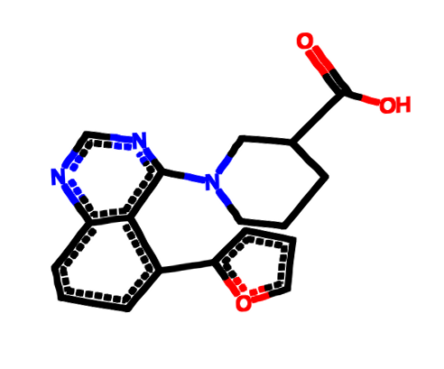 O=C(O)C1CCCN(c2ncnc3cccc(-c4ccco4)c23)C1